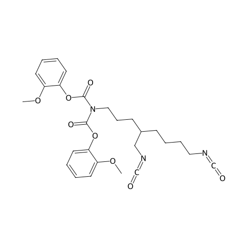 COc1ccccc1OC(=O)N(CCCC(CCCCN=C=O)CN=C=O)C(=O)Oc1ccccc1OC